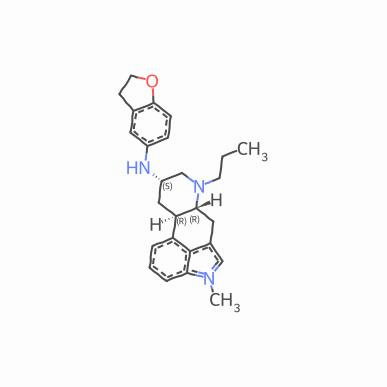 CCCN1C[C@@H](Nc2ccc3c(c2)CCO3)C[C@@H]2c3cccc4c3c(cn4C)C[C@H]21